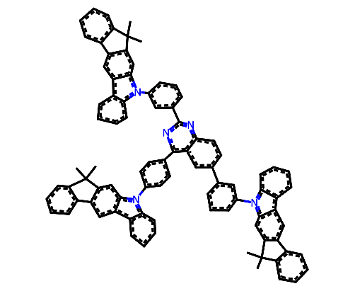 CC1(C)c2ccccc2-c2cc3c4ccccc4n(-c4ccc(-c5nc(-c6cccc(-n7c8ccccc8c8cc9c(cc87)C(C)(C)c7ccccc7-9)c6)nc6ccc(-c7cccc(-n8c9ccccc9c9cc%10c(cc98)C(C)(C)c8ccccc8-%10)c7)cc56)cc4)c3cc21